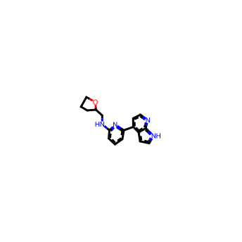 c1cc(NCC2CCCO2)nc(-c2ccnc3[nH]ccc23)c1